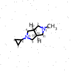 CN1C[C@@H]2CN(C3CC3)C[C@@H]2C1